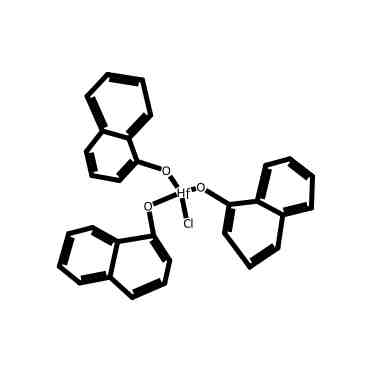 [Cl][Hf]([O]c1cccc2ccccc12)([O]c1cccc2ccccc12)[O]c1cccc2ccccc12